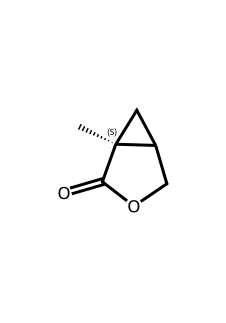 C[C@]12CC1COC2=O